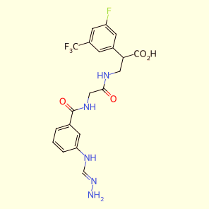 NN=CNc1cccc(C(=O)NCC(=O)NCC(C(=O)O)c2cc(F)cc(C(F)(F)F)c2)c1